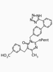 CCCCCc1nc(C)c(Cc2cccc(C(=O)O)c2)c(=O)n1Cc1ccc(-c2ccccc2-c2nnn[nH]2)cc1